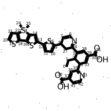 CCC1C(C2=NC=CC(c3ccc(-c4cc5c(s4)-c4sccc4[Si]5(C)C)s3)C2)=CC(C(=O)O)=CC1c1cc(C(=O)O)ccn1